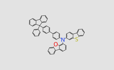 c1ccc(C2(c3ccc(-c4ccc(N(c5ccc6c(c5)sc5ccccc56)c5cccc6c5oc5ccccc56)cc4)cc3)c3ccccc3-c3ccccc32)cc1